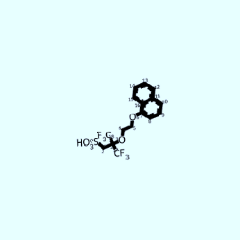 O=S(=O)(O)CC(OCCOc1cccc2ccccc12)(C(F)(F)F)C(F)(F)F